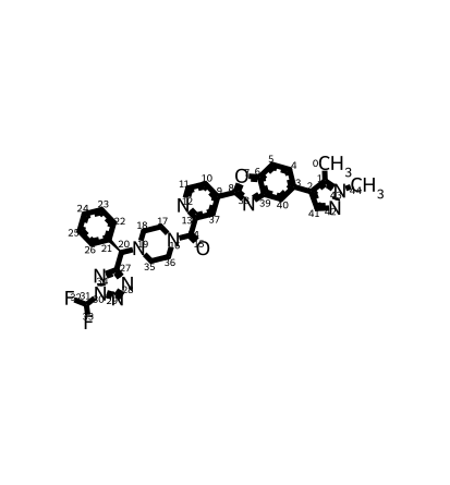 Cc1c(-c2ccc3oc(-c4ccnc(C(=O)N5CCN([C@H](c6ccccc6)c6nnn(C(F)F)n6)CC5)c4)nc3c2)cnn1C